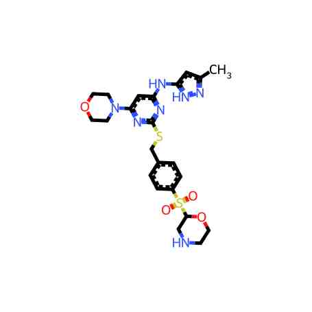 Cc1cc(Nc2cc(N3CCOCC3)nc(SCc3ccc(S(=O)(=O)C4CNCCO4)cc3)n2)[nH]n1